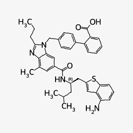 CCCc1nc2c(C)cc(C(=O)N[C@@H](Cc3cc4c(N)cccc4s3)CC(C)C)cc2n1Cc1ccc(-c2ccccc2C(=O)O)cc1